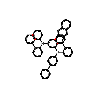 c1ccc(-c2ccc(N(c3ccccc3-c3ccccc3)c3cc(N(c4ccccc4)c4ccccc4-c4ccccc4)cc4c3oc3cc5ccccc5cc34)cc2)cc1